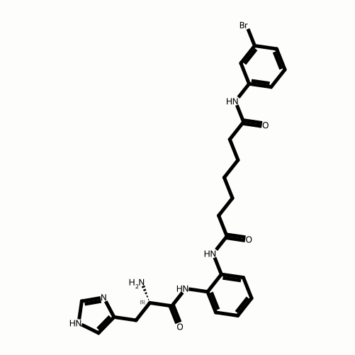 N[C@@H](Cc1c[nH]cn1)C(=O)Nc1ccccc1NC(=O)CCCCCC(=O)Nc1cccc(Br)c1